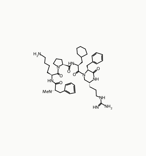 CN[C@@H](Cc1ccccc1)C(=O)N[C@@H](CCCCN)C(=O)N1CCC[C@H]1C(=O)N[C@@H](CC1CCCCC1)C(=O)N1C[C@@H](CCCNC(=N)N)NC(=O)[C@@H]1Cc1ccccc1